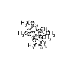 CCCCP(=O)(C(=O)c1c(C)cccc1C)C(=O)c1c(OC)cc(OC)cc1OC